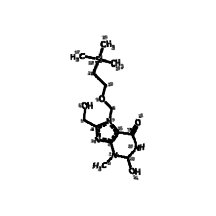 CN1c2nc(CO)n(COCC[Si](C)(C)C)c2C(=O)NC1O